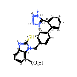 CCOC(=O)c1cccc2nc(S)n(Cc3ccc(-c4ccccc4-c4nnn[nH]4)cc3)c12